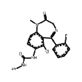 CC(C)NC(=O)Nc1ccc2c(c1Cl)C(c1ccccc1F)=NCC(=O)N2C